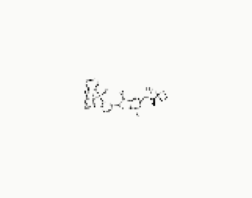 Cn1cnnc1[C@](F)(c1ccccc1)c1cccc(N2Cc3c(Cl)cc(CNC4(C)CCC4)cc3C2=O)c1